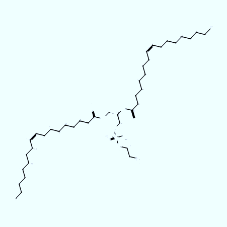 C=C(CCCCCCC/C=C\CCCCCCCC)O[C@H](COC(=O)CCCCCCC/C=C\CCCCCCCC)COP(=O)(O)OCCN